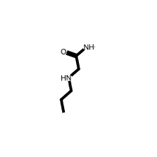 CCCNCC([NH])=O